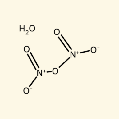 O.O=[N+]([O-])O[N+](=O)[O-]